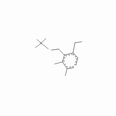 CC(C)(C)NCc1c(CO)cnc(O)c1O